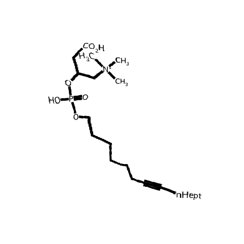 CCCCCCCC#CCCCCCCOP(=O)(O)OC(CC(=O)O)C[N+](C)(C)C